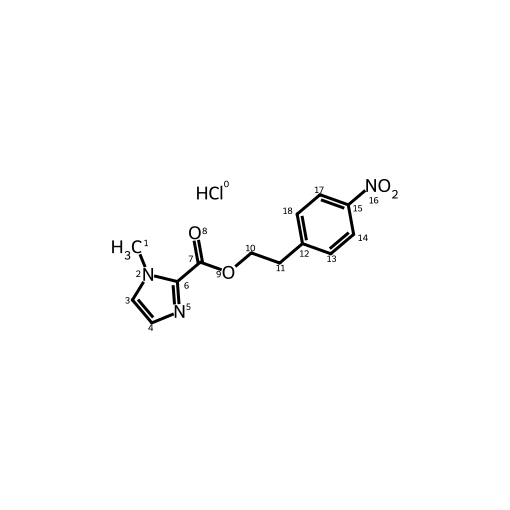 Cl.Cn1ccnc1C(=O)OCCc1ccc([N+](=O)[O-])cc1